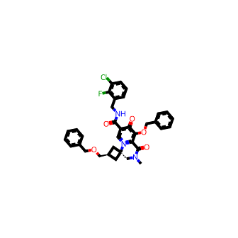 CN1C[C@]2(C[C@H](COCc3ccccc3)C2)n2cc(C(=O)NCc3cccc(Cl)c3F)c(=O)c(OCc3ccccc3)c2C1=O